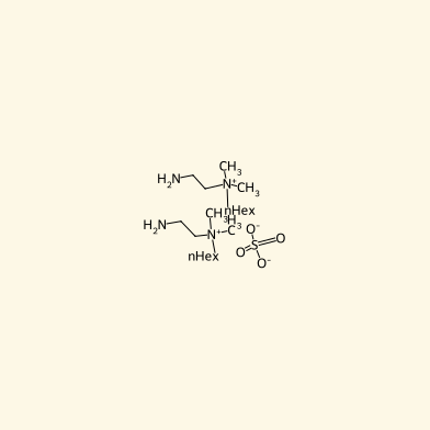 CCCCCC[N+](C)(C)CCN.CCCCCC[N+](C)(C)CCN.O=S(=O)([O-])[O-]